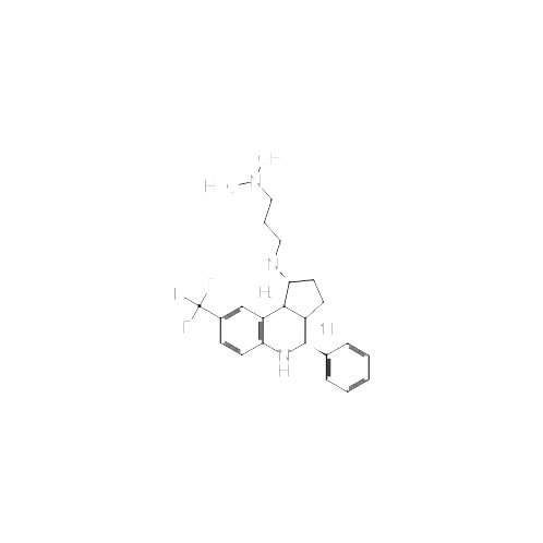 CN(C)CCCN[C@H]1CC[C@@H]2[C@H]1c1cc(C(F)(F)F)ccc1N[C@@H]2c1ccccc1